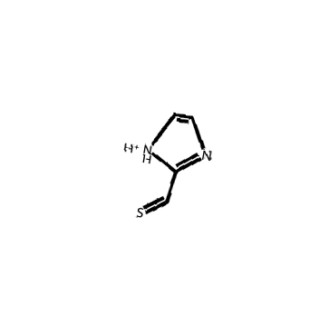 S=Cc1ncc[nH]1.[H+]